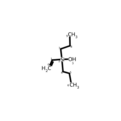 C=C[Si](O)(CCC)CCC